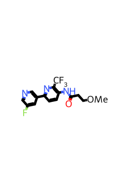 COCCC(=O)Nc1ccc(-c2cncc(F)c2)nc1C(F)(F)F